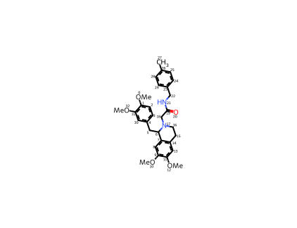 COc1ccc(CC2c3cc(OC)c(OC)cc3CCN2CC(=O)NCc2ccc(C)cc2)cc1OC